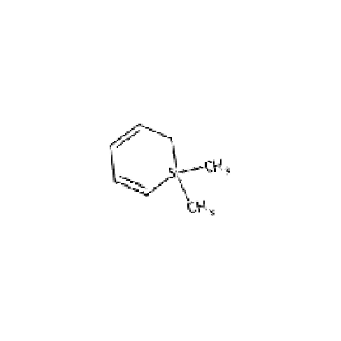 C[Si]1(C)C=CC=CC1